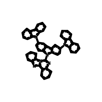 c1ccc2c(c1)nc(-n1c3ccc(-n4c5ccccc5c5ccccc54)cc3c3cc(-n4c5ccccc5c5ccccc54)ccc31)n1c3ccccc3nc21